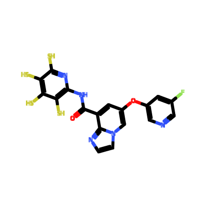 O=C(Nc1nc(S)c(S)c(S)c1S)c1cc(Oc2cncc(F)c2)cn2ccnc12